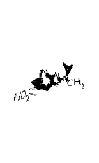 CN(c1nc2ncc(C(=O)O)cc2s1)C1CC1